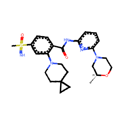 C[C@@H]1CN(c2cccc(NC(=O)c3ccc(S(C)(=N)=O)cc3N3CCC4(CC3)CC4)n2)CCO1